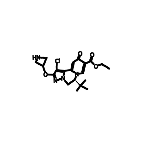 CCOC(=O)c1cn2c(cc1=O)-c1c(Cl)c(OC3CNC3)nn1C[C@H]2C(C)(C)C